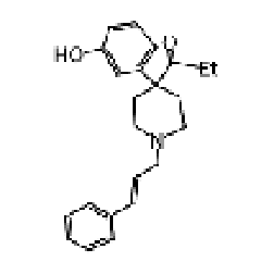 CCC(=O)C1(c2cccc(O)c2)CCN(CC=Cc2ccccc2)CC1